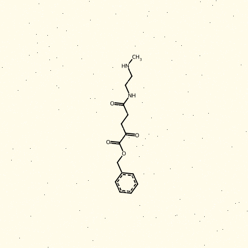 CNCCNC(=O)CCC(=O)C(=O)OCc1ccccc1